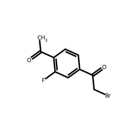 CC(=O)c1ccc(C(=O)CBr)cc1F